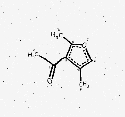 CC(=O)c1c(C)coc1C